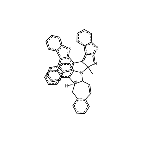 CC1(N2c3ccc4ccccc4c3[C@@H]3Cc4ccccc4C=CC32)N=c2sc3ccccc3c2=C1c1cc2ccccc2c2c1sc1ccccc12